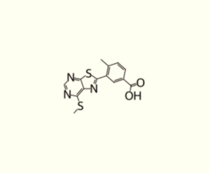 CSc1ncnc2sc(-c3cc(C(=O)O)ccc3C)nc12